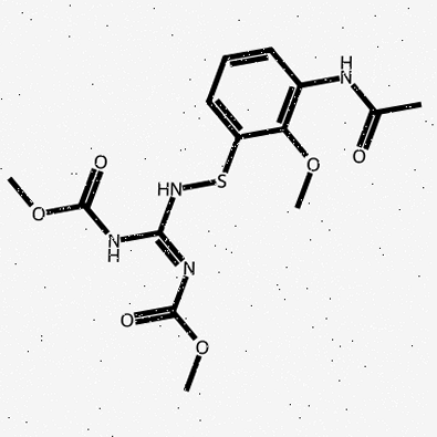 COC(=O)N=C(NSc1cccc(NC(C)=O)c1OC)NC(=O)OC